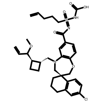 C=CCCCS(=O)(=NC(=O)c1ccc2c(c1)N(C[C@@H]1CC[C@H]1C(C=C)OC)C[C@@]1(CCCc3cc(Cl)ccc31)CO2)NC(=O)O